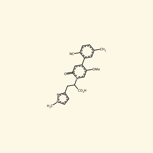 COc1cn(C(Cc2ccn(C)n2)C(=O)O)c(=O)cc1-c1cc(C)ccc1C#N